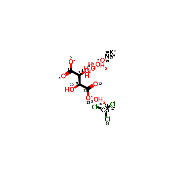 O.O.O.O.O=C([O-])C(O)C(O)C(=O)[O-].[Cl][Co]([Cl])[Cl].[K+].[Na+]